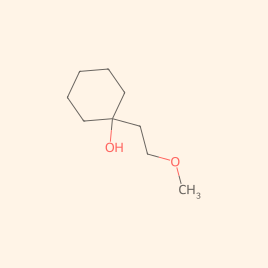 COCCC1(O)CCCCC1